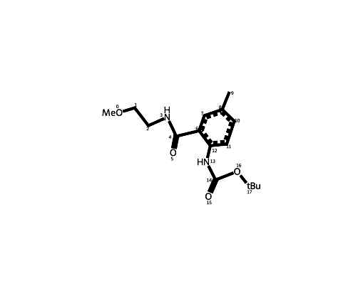 COCCNC(=O)c1cc(C)ccc1NC(=O)OC(C)(C)C